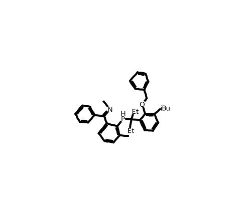 CCC(C)c1cccc(C(CC)(CC)Pc2c(C)cccc2/C(=N/C)c2ccccc2)c1OCc1ccccc1